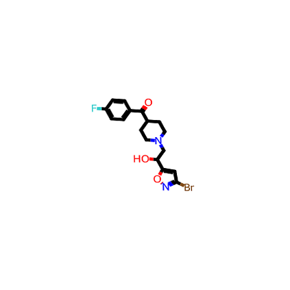 O=C(c1ccc(F)cc1)C1CCN(CC(O)c2cc(Br)no2)CC1